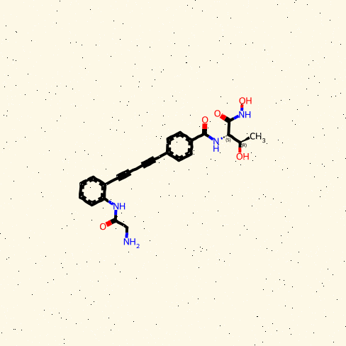 C[C@@H](O)[C@H](NC(=O)c1ccc(C#CC#Cc2ccccc2NC(=O)CN)cc1)C(=O)NO